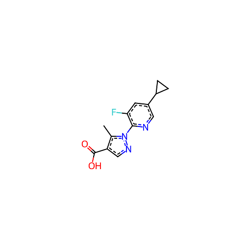 Cc1c(C(=O)O)cnn1-c1ncc(C2CC2)cc1F